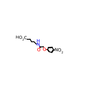 O=C(O)CCCCCNC(=O)COc1ccc([N+](=O)[O-])cc1